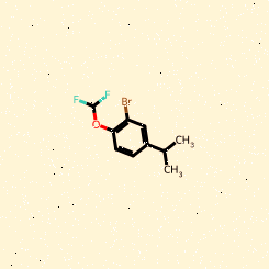 C[C](C)c1ccc(OC(F)F)c(Br)c1